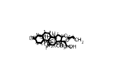 C=CCOC1C[C@H]2[C@@H]3CCC4=CC(=O)CC[C@]4(C)[C@@]3(Cl)C(F)C[C@]2(C)[C@@]1(O)C(=O)CO